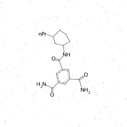 CCCC1CCCC(NC(=O)c2cc(C(N)=O)cc(C(N)=O)c2)C1